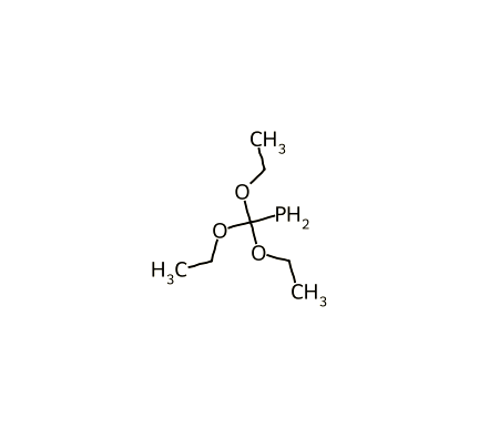 CCOC(P)(OCC)OCC